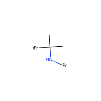 CC(C)NC(C)(C)C(C)C